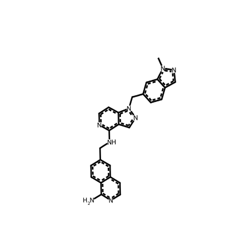 Cn1ncc2ccc(Cn3ncc4c(NCc5ccc6c(N)nccc6c5)nccc43)cc21